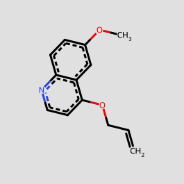 C=CCOc1ccnc2ccc(OC)cc12